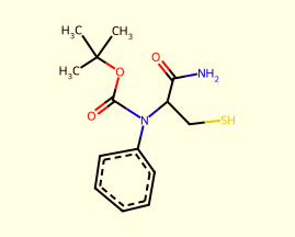 CC(C)(C)OC(=O)N(c1ccccc1)C(CS)C(N)=O